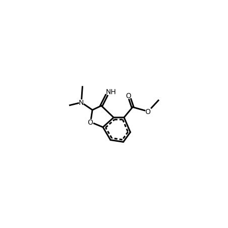 COC(=O)c1cccc2c1C(=N)C(N(C)C)O2